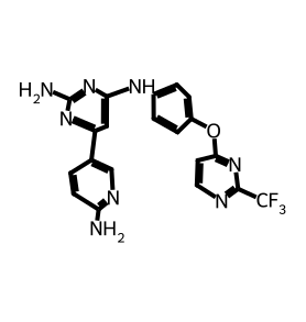 Nc1ccc(-c2cc(Nc3ccc(Oc4ccnc(C(F)(F)F)n4)cc3)nc(N)n2)cn1